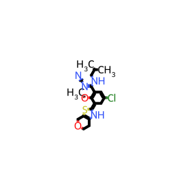 COC1=C(C(=NC#N)NCC(C)C)C=C(Cl)C/C1=C1\NC2=C(COCC2)S1